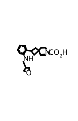 O=C(O)N1C=CC2(CC1)CC(c1ccccc1NCC1COC1)C2